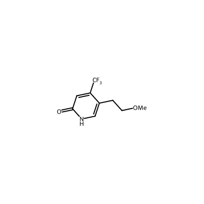 COCCc1c[nH]c(=O)cc1C(F)(F)F